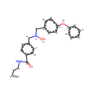 CCCCCCCCCCCCNC(=O)c1ccc(CN(O)Cc2ccc(Oc3ccccc3)cc2)cc1